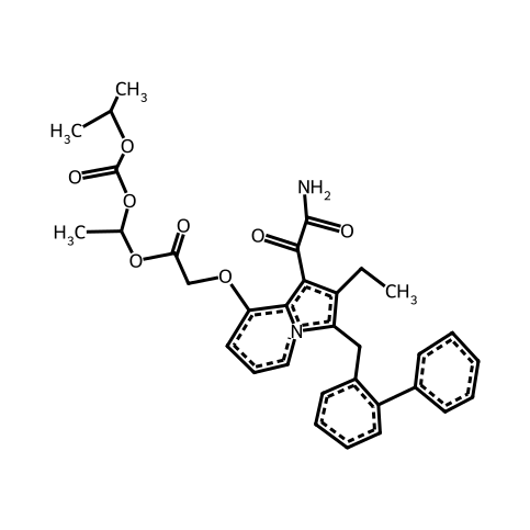 CCc1c(C(=O)C(N)=O)c2c(OCC(=O)OC(C)OC(=O)OC(C)C)cccn2c1Cc1ccccc1-c1ccccc1